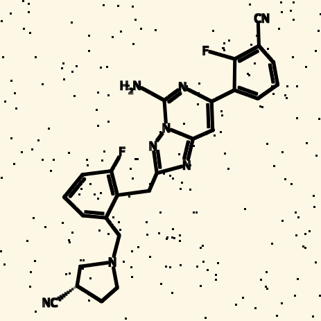 N#Cc1cccc(-c2cc3nc(Cc4c(F)cccc4CN4CC[C@H](C#N)C4)nn3c(N)n2)c1F